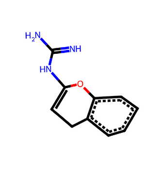 N=C(N)NC1=CCc2ccccc2O1